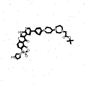 CC(C)(C)OC(=O)CN1CCCN(C2CCN(c3ccc(-c4cnc5[nH]cc(C(=O)c6c(F)ccc(N(N7CC[C@@H](F)C7)[SH](=O)=O)c6F)c5c4)cc3)CC2)CC1